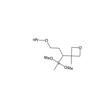 CCCOCCC(C1(C)COC1)[Si](C)(OC)OC